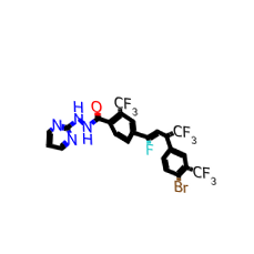 O=C(NNc1ncccn1)c1ccc(/C(F)=C/C(c2ccc(Br)c(C(F)(F)F)c2)C(F)(F)F)cc1C(F)(F)F